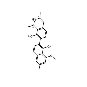 COc1cc(C)cc2ccc(-c3ccc4c(c3O)[C@@H](C)N[C@H](C)C4)c(O)c12